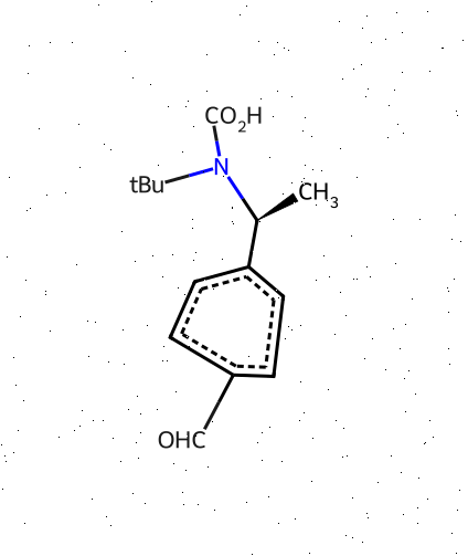 C[C@@H](c1ccc(C=O)cc1)N(C(=O)O)C(C)(C)C